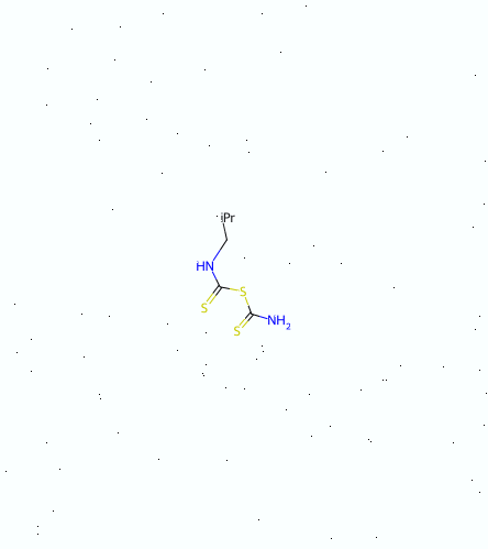 CC(C)CNC(=S)SC(N)=S